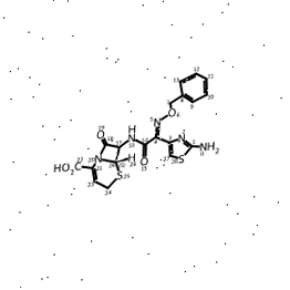 Nc1nc(C(=NOCc2ccccc2)C(=O)NC2C(=O)N3C(C(=O)O)=CCS[C@@H]23)cs1